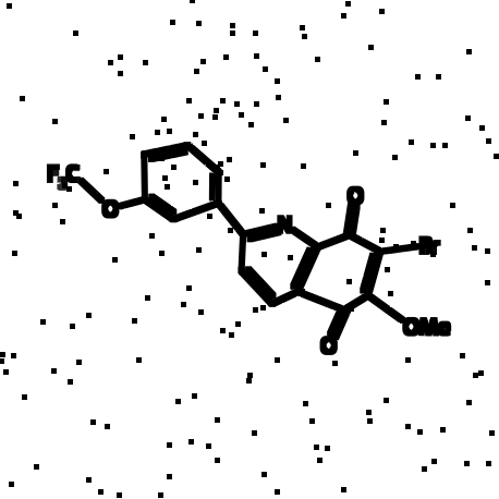 COC1=C(Br)C(=O)c2nc(-c3cccc(OC(F)(F)F)c3)ccc2C1=O